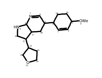 COC1C=CC(C2C=NC3NCC(C4CCOC4)C3C2)CC1